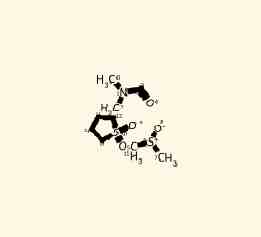 CN(C)C=O.C[S+](C)[O-].O=S1(=O)CCCC1